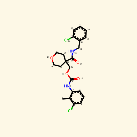 Cc1c(Cl)cccc1NC(=O)OCC1(C(=O)NCc2ccccc2Cl)CCOCC1